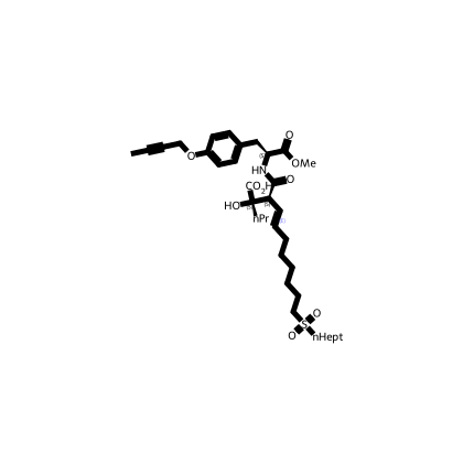 CC#CCOc1ccc(C[C@H](NC(=O)[C@@H](/C=C/CCCCCCS(=O)(=O)CCCCCCC)[C@@](O)(CCC)C(=O)O)C(=O)OC)cc1